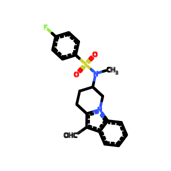 CN(C1CCc2c(C=O)c3ccccc3n2C1)S(=O)(=O)c1ccc(F)cc1